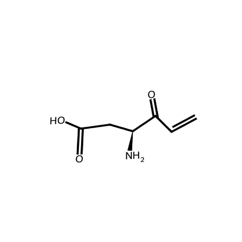 C=CC(=O)[C@@H](N)CC(=O)O